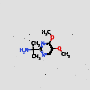 COc1cnc(C(C)(C)N)nc1OC